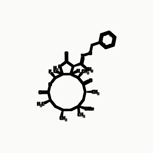 CO[C@@]1(C)C[C@@H](C)C[C@@H](C)C(=O)O[C@@H](F)[C@]2(C)OC(=O)[C@@H](/C(N)=N/OCc3ccccc3)[C@@H]2[C@@H](C)C(=O)[C@H](C)C1